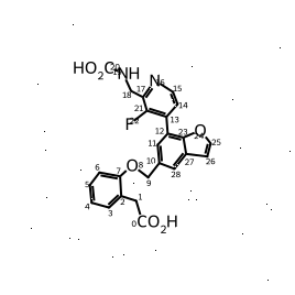 O=C(O)Cc1ccccc1OCc1cc(-c2ccnc(CNC(=O)O)c2F)c2occc2c1